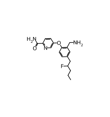 CCCC(F)Cc1ccc(Oc2ccc(C(N)=O)nc2)c(CN)c1